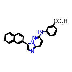 O=C(O)c1cccc(Nc2ccc3ncc(-c4ccc5ccccc5c4)n3n2)c1